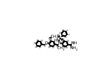 COc1cc(C(C)N(NS(=O)(=O)c2ccccc2)c2ccc(C(=N)N)cc2)ccc1OCc1ccccc1